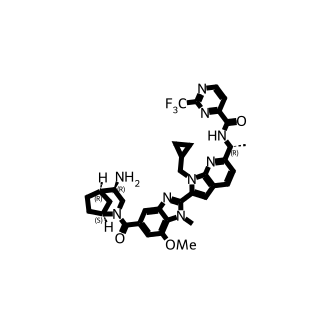 COc1cc(C(=O)N2C[C@H](N)[C@@H]3CC[C@H]2C3)cc2nc(-c3cc4ccc([C@@H](C)NC(=O)c5ccnc(C(F)(F)F)n5)nc4n3CC3CC3)n(C)c12